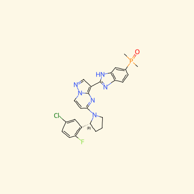 CP(C)(=O)c1ccc2nc(-c3cnn4ccc(N5CCC[C@@H]5c5cc(Cl)ccc5F)nc34)[nH]c2c1